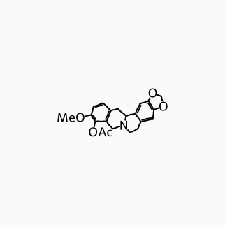 COc1ccc2c(c1OC(C)=O)CN1CCc3cc4c(cc3C1C2)OCO4